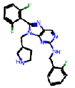 Fc1ccccc1CNc1ncc2nc(-c3c(F)cccc3F)n(CC3CCNC3)c2n1